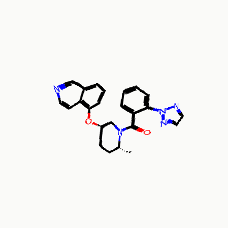 C[C@@H]1CC[C@@H](Oc2cccc3cnccc23)CN1C(=O)c1ccccc1-n1nccn1